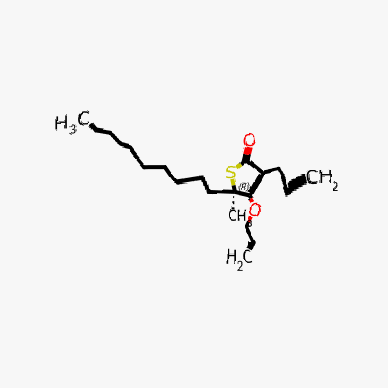 C=CCOC1=C(CC=C)C(=O)S[C@]1(C)CCCCCCCCCC